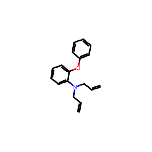 C=CCN(CC=C)c1ccccc1Oc1ccccc1